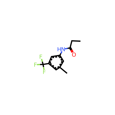 CCC(=O)Nc1cc(C)cc(C(F)(F)F)c1